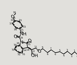 CCCCCCCCCCOCC(O)=C1C(=O)N(C(=O)Nc2ccc(OC)cc2)c2ccccc21